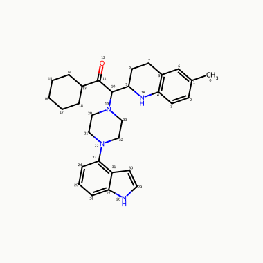 Cc1ccc2c(c1)CCC(C(C(=O)C1CCCCC1)N1CCN(c3cccc4[nH]ccc34)CC1)N2